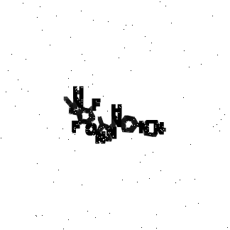 Cc1cc2c(F)c(Oc3ncnc(Nc4ccc(N5CCN(C)CC5)cc4)c3C)cc(F)c2[nH]1